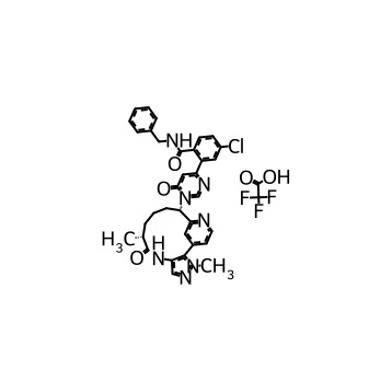 C[C@@H]1CCC[C@H](n2cnc(-c3cc(Cl)ccc3C(=O)NCc3ccccc3)cc2=O)c2cc(ccn2)-c2c(cnn2C)NC1=O.O=C(O)C(F)(F)F